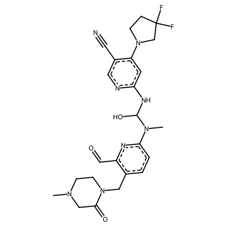 CN1CCN(Cc2ccc(N(C)C(O)Nc3cc(N4CCC(F)(F)C4)c(C#N)cn3)nc2C=O)C(=O)C1